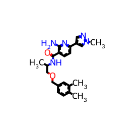 Cc1ccc(COCC(C)NC(=O)c2ccc(-c3cnn(C)c3)nc2N)cc1C